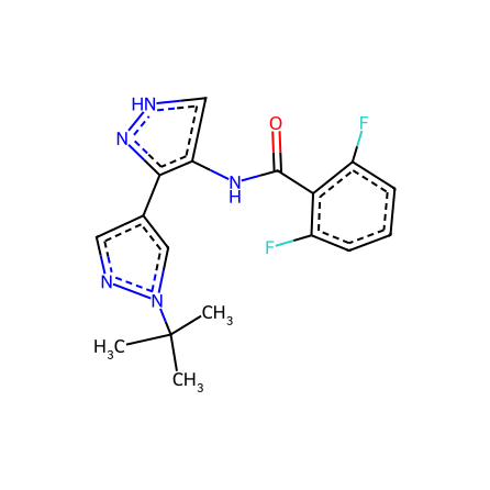 CC(C)(C)n1cc(-c2n[nH]cc2NC(=O)c2c(F)cccc2F)cn1